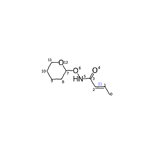 C/C=C/C(=O)NOC1CCCCO1